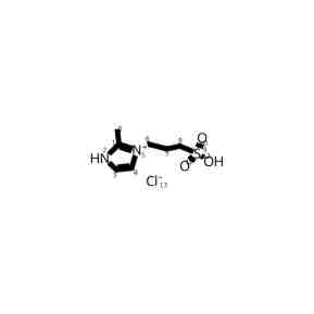 Cc1[nH]cc[n+]1CCCS(=O)(=O)O.[Cl-]